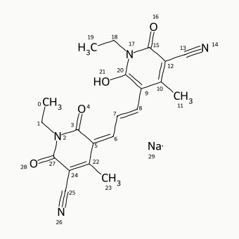 CCN1C(=O)C(=CC=Cc2c(C)c(C#N)c(=O)n(CC)c2O)C(C)=C(C#N)C1=O.[Na]